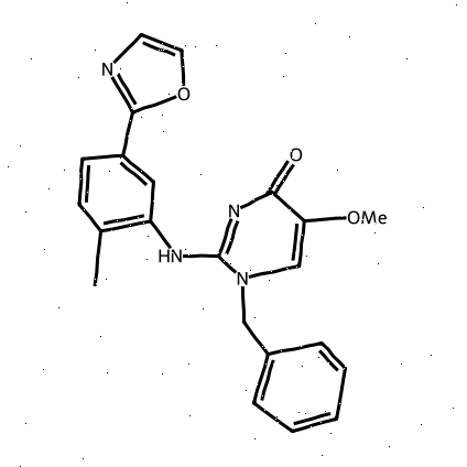 COc1cn(Cc2ccccc2)c(Nc2cc(-c3ncco3)ccc2C)nc1=O